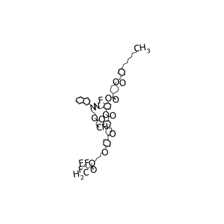 C=CC(=O)OCCN(/N=C/c1c(OC(=O)c2ccc(CC(=O)c3ccc(OCCCCOC(=O)C(=C)C(F)(F)F)cc3)cc2)ccc(OC(=O)C2CCC(OC(=O)c3ccc(CCCCCCC)cc3)CC2)c1F)c1ccc2ccccc2c1